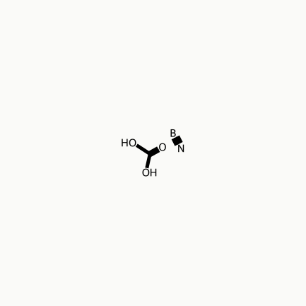 B#N.O=C(O)O